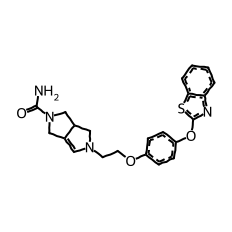 NC(=O)N1CC2=CN(CCOc3ccc(Oc4nc5ccccc5s4)cc3)CC2C1